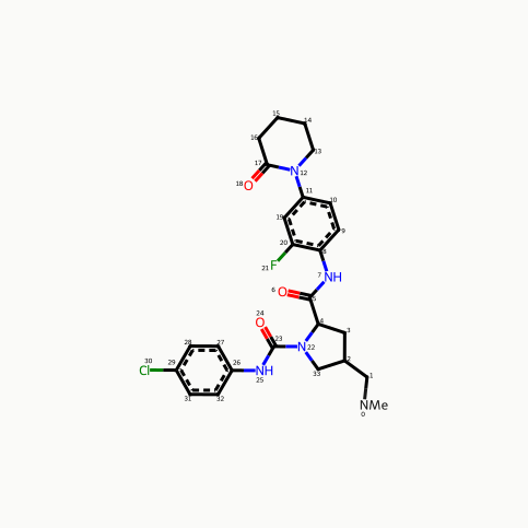 CNCC1CC(C(=O)Nc2ccc(N3CCCCC3=O)cc2F)N(C(=O)Nc2ccc(Cl)cc2)C1